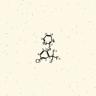 FC(F)(F)c1cc(Cl)ccc1Sc1ncccn1